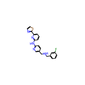 Fc1cccc(CNCc2ccc(Nc3cccc(-c4nccs4)n3)nc2)c1